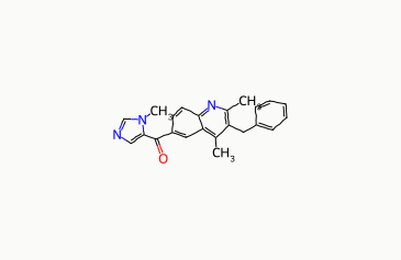 Cc1nc2ccc(C(=O)c3cncn3C)cc2c(C)c1Cc1ccccc1